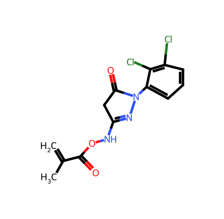 C=C(C)C(=O)ONC1=NN(c2cccc(Cl)c2Cl)C(=O)C1